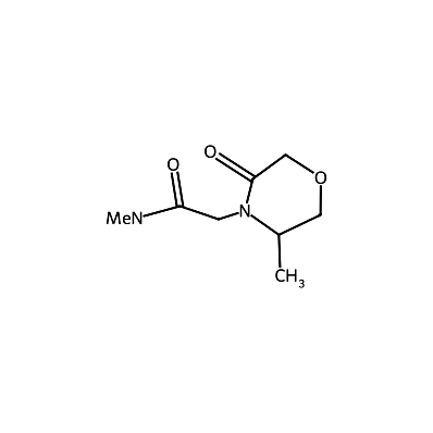 CNC(=O)CN1C(=O)COCC1C